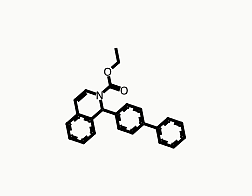 CCOC(=O)N1C=Cc2ccccc2C1c1ccc(-c2ccccc2)cc1